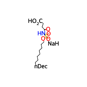 CCCCCCCCCCCCCCCCCCOS(=O)(=O)NC(=O)CCC(=O)O.[NaH]